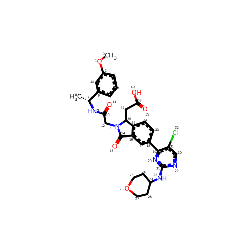 COc1cccc([C@@H](C)NC(=O)CN2C(=O)c3cc(-c4nc(NC5CCOCC5)ncc4Cl)ccc3C2CC(=O)O)c1